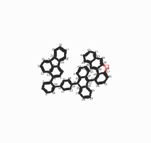 c1ccc(-c2ccc3c4c(cccc24)-c2ccccc2-3)c(-c2ccc(-c3c4ccccc4c(-c4cccc5oc6cc7ccccc7cc6c45)c4ccccc34)cc2)c1